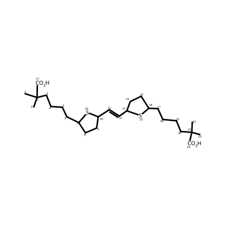 CC(C)(CCCCC1CCC(C=CC2CCC(CCCCC(C)(C)C(=O)O)S2)S1)C(=O)O